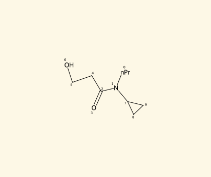 CCCN(C(=O)CCO)C1CC1